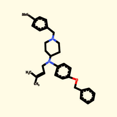 CSc1ccc(CN2CCC(N(CC=C(C)C)c3ccc(OCc4ccccc4)cc3)CC2)cc1